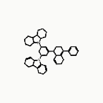 C1=CCCC(C2=C3CCC=CC3C(C3=CC(N4C5CCCCC5C5CCCCC54)CC(N4C5=C(CCC=C5)C5CCC=CC54)=C3)CC2)=C1